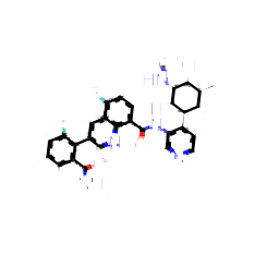 C[C@@H]1C[C@H](NC(=O)O)C[C@H](c2ccncc2NC(=O)c2ccc(F)c3cc(-c4c(F)cccc4C(N)=O)cnc23)C1